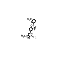 Cc1cccc(COc2ccc(-c3cc4c(ncn4C)c(N)n3)cc2C(F)(F)F)n1